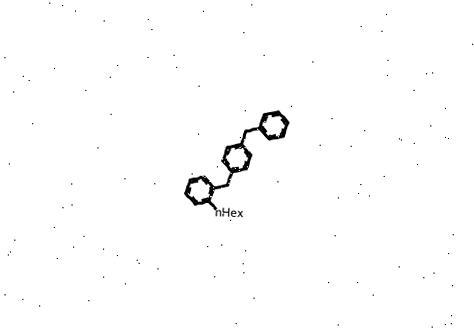 CCCCCCc1ccccc1Cc1ccc(Cc2ccccc2)cc1